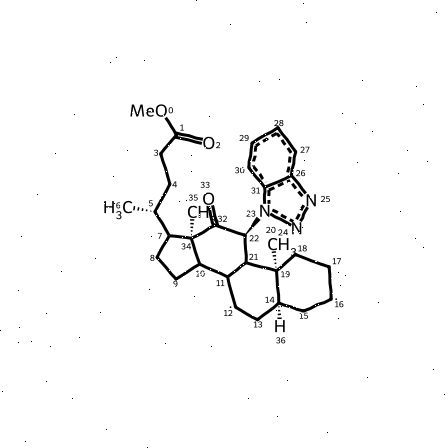 COC(=O)CC[C@@H](C)C1CCC2C3[CH]C[C@@H]4C[CH]CC[C@]4(C)C3[C@H](n3nnc4ccccc43)C(=O)[C@@]21C